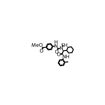 COC(=O)c1ccc(NC(=O)N(S)[C@H](C(=O)Nc2ccccc2C)C2CCCCC2)cc1